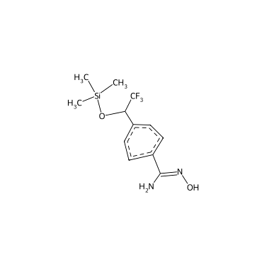 C[Si](C)(C)OC(c1ccc(/C(N)=N/O)cc1)C(F)(F)F